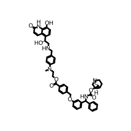 CN(CCOC(=O)c1ccc(COc2cccc(C(NC(=O)O[C@H]3CN4CCC3CC4)c3ccccc3)c2)cc1)c1ccc(CNC[C@H](O)c2ccc(O)c3[nH]c(=O)ccc23)cc1